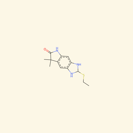 CCSC1Nc2cc3c(cc2N1)C(C)(C)C(=O)N3